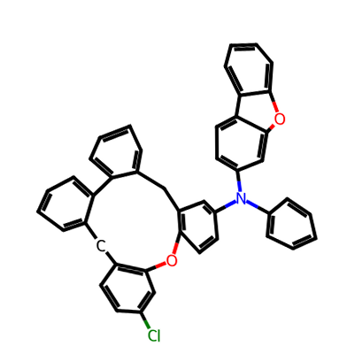 Clc1ccc2c(c1)Oc1ccc(N(c3ccccc3)c3ccc4c(c3)oc3ccccc34)cc1Cc1ccccc1-c1ccccc1C2